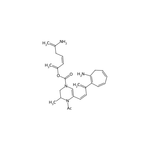 C=C(N)C/C=C\C(=C)OC(=O)N1C=C(/C=C\C(=C)C2=C(N)CC=CC=C2)N(C(C)=O)C(C)C1